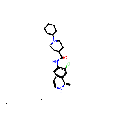 C=C1NC=Cc2cc(NC(=O)C3CCN(C4CCCCC4)CC3)c(Cl)cc21